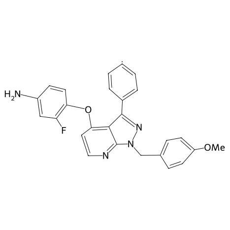 COc1ccc(Cn2nc(-c3cc[c]cc3)c3c(Oc4ccc(N)cc4F)ccnc32)cc1